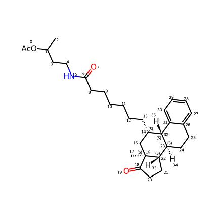 CC(=O)OC(C)CCNC(=O)CCCCCC[C@H]1C[C@]2(C)C(=O)CC[C@H]2[C@@H]2CCc3ccccc3[C@@H]12